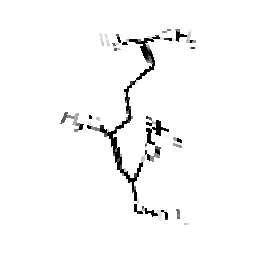 BOC(C=C(C)CCC=C(C)C)OB